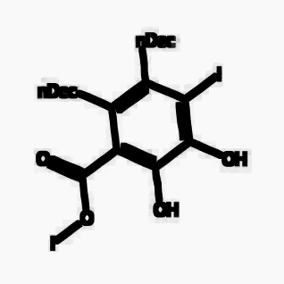 CCCCCCCCCCc1c(I)c(O)c(O)c(C(=O)OI)c1CCCCCCCCCC